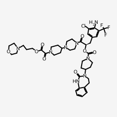 Nc1c(Cl)cc(C[C@@H](OC(=O)N2CCC(N3CCc4ccccc4NC3=O)CC2)C(=O)N2CCN(C3CCN(C(=O)C(=O)OCCCN4CCOCC4)CC3)CC2)cc1C(F)(F)F